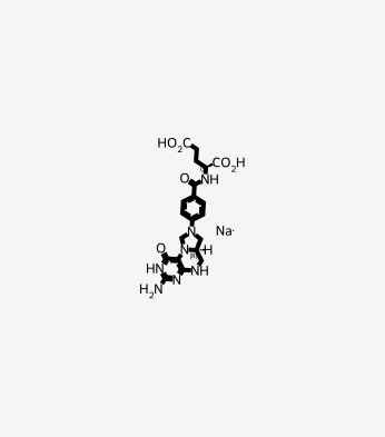 Nc1nc2c(c(=O)[nH]1)N1CN(c3ccc(C(=O)N[C@@H](CCC(=O)O)C(=O)O)cc3)C[C@H]1CN2.[Na]